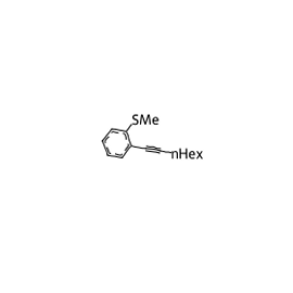 CCCCCCC#Cc1ccccc1SC